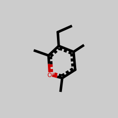 CCc1c(C)cc(C)[o+]c1C